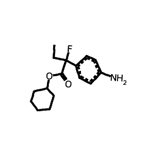 CCC(F)(C(=O)OC1CCCCC1)c1ccc(N)cc1